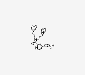 O=C(O)c1ccnc(C(=O)N(CCCn2ccnc2)CCCn2ccnc2)c1